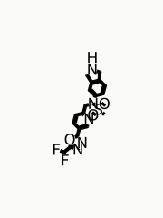 CS(=O)(=O)N(Cc1ccc(-c2nnc(C(F)F)o2)cn1)c1ccc2c(c1)CNC2